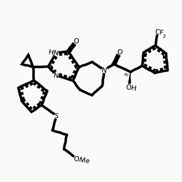 COCCCSc1cccc(C2(c3nc4c(c(=O)[nH]3)CN(C(=O)[C@H](O)c3cccc(C(F)(F)F)c3)CCC4)CC2)c1